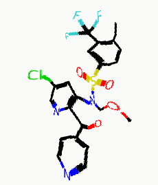 COCN(c1cc(Cl)cnc1C(=O)c1ccncc1)S(=O)(=O)c1ccc(C)c(C(F)(F)F)c1